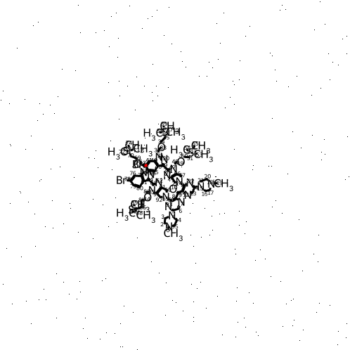 CN1CCN(c2cnc(C(=O)c3ncc(N4CCN(C)CC4)nc3N3Cc4nc(-c5nn(COCC[Si](C)(C)C)c6cc(Br)ccc56)n(COCC[Si](C)(C)C)c4C3)c(N3Cc4nc(-c5nn(COCC[Si](C)(C)C)c6cc(Br)ccc56)n(COCC[Si](C)(C)C)c4C3)n2)CC1